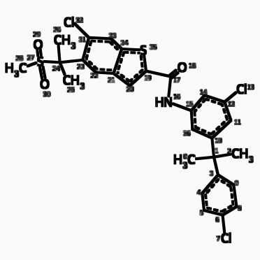 CC(C)(c1ccc(Cl)cc1)c1cc(Cl)cc(NC(=O)c2cc3cc(C(C)(C)S(C)(=O)=O)c(Cl)cc3s2)c1